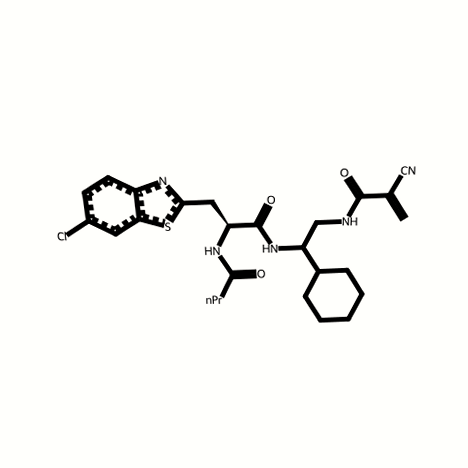 C=C(C#N)C(=O)NCC(NC(=O)[C@H](Cc1nc2ccc(Cl)cc2s1)NC(=O)CCC)C1CCCCC1